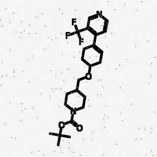 CC(C)(C)OC(=O)N1CCC(COC2CC=C(c3ccncc3C(F)(F)F)CC2)CC1